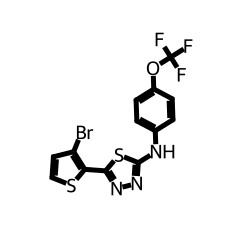 FC(F)(F)Oc1ccc(Nc2nnc(-c3sccc3Br)s2)cc1